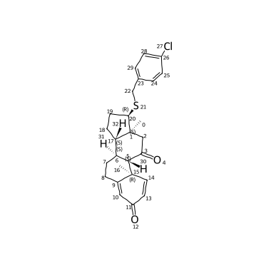 C[C@]12CC(=O)[C@H]3[C@@H](CCC4=CC(=O)C=C[C@@]43C)[C@@H]1CC[C@H]2SCc1ccc(Cl)cc1